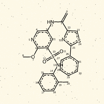 C=C(Nc1cnc(OC)c(S(=O)(=O)Nc2ccccc2C)c1)c1csc(-c2ccccc2)n1